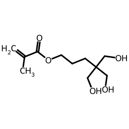 C=C(C)C(=O)OCCCC(CO)(CO)CO